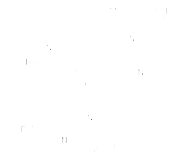 CCOC(=O)CN1C(=O)C(CC(=O)NO)S/C1=N\c1cc(-n2c(=O)cc(C(F)(F)F)n(C)c2=O)c(F)cc1Cl